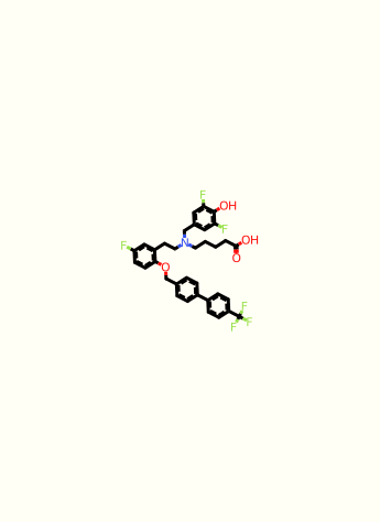 O=C(O)CCCCN(CCc1cc(F)ccc1OCc1ccc(-c2ccc(C(F)(F)F)cc2)cc1)Cc1cc(F)c(O)c(F)c1